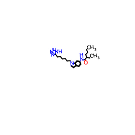 CCCCC(CC)C(=O)Nc1ccc2ccn(CCCCCCc3nnn[nH]3)c2c1